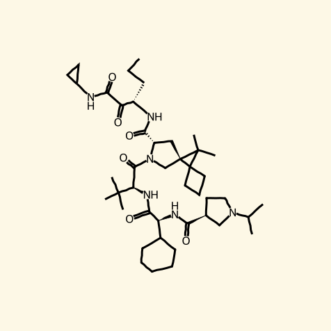 CCC[C@H](NC(=O)[C@@H]1C[C@@]2(CN1C(=O)[C@@H](NC(=O)[C@@H](NC(=O)[C@H]1CCN(C(C)C)C1)C1CCCCC1)C(C)(C)C)C(C)(C)C21CCC1)C(=O)C(=O)NC1CC1